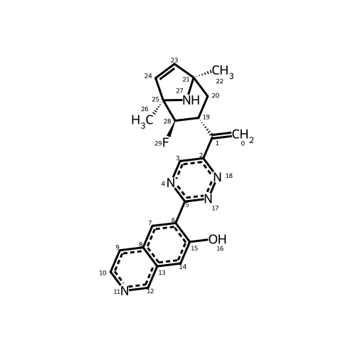 C=C(c1cnc(-c2cc3ccncc3cc2O)nn1)[C@H]1C[C@]2(C)C=C[C@@](C)(N2)[C@@H]1F